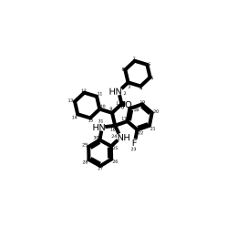 O=C(NC1CCCCC1)C(C1CCCCC1)C1(c2ccccc2F)Nc2ccccc2N1